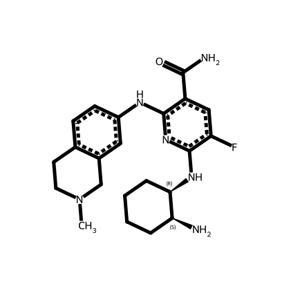 CN1CCc2ccc(Nc3nc(N[C@@H]4CCCC[C@@H]4N)c(F)cc3C(N)=O)cc2C1